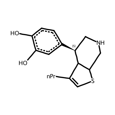 CCCC1=CSC2CNC[C@H](c3ccc(O)c(O)c3)C12